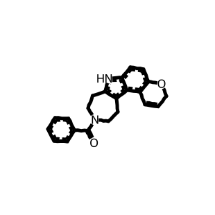 O=C(c1ccccc1)N1CCc2[nH]c3ccc4c(c3c2CC1)C=CCO4